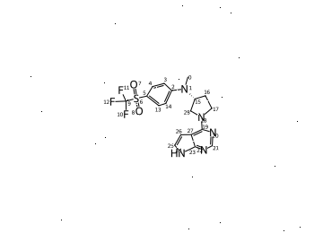 CN(c1ccc(S(=O)(=O)C(F)(F)F)cc1)[C@@H]1CCN(c2ncnc3[nH]ccc23)C1